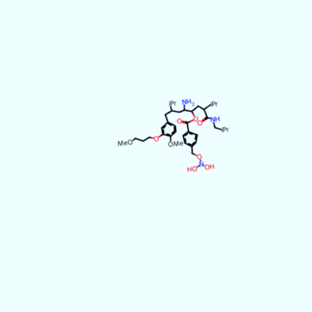 COCCCOc1cc(CC(CC(N)C(CC(C(=O)NCC(C)C)C(C)C)OC(=O)c2ccc(CON(O)O)cc2)C(C)C)ccc1OC